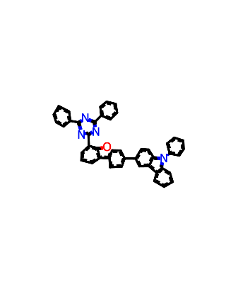 c1ccc(-c2nc(-c3ccccc3)nc(-c3cccc4c3oc3cc(-c5ccc6c(c5)c5ccccc5n6-c5ccccc5)ccc34)n2)cc1